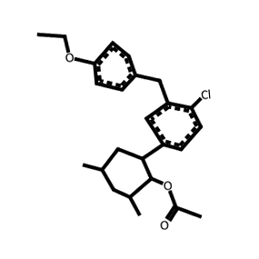 CCOc1ccc(Cc2cc(C3CC(C)CC(C)C3OC(C)=O)ccc2Cl)cc1